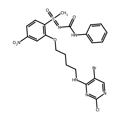 CS(=O)(=NC(=O)Nc1ccccc1)c1ccc([N+](=O)[O-])cc1OCCCCNc1nc(Cl)ncc1Br